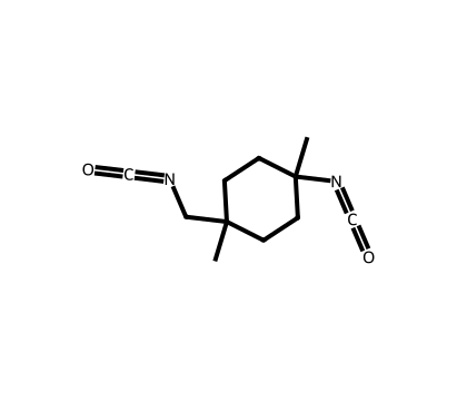 CC1(CN=C=O)CCC(C)(N=C=O)CC1